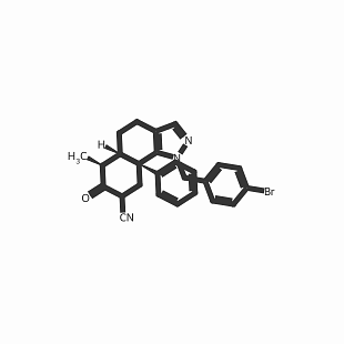 C[C@@H]1C(=O)C(C#N)C[C@@]2(c3ccccc3)c3c(cnn3Cc3ccc(Br)cc3)CC[C@@H]12